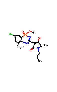 CCOC(=O)c1cc(Cl)cc2c1NC(C1=C(O)[C@H](C(C)(C)C)N(CCC(C)(C)C)C1=O)=NP2(=O)OCC